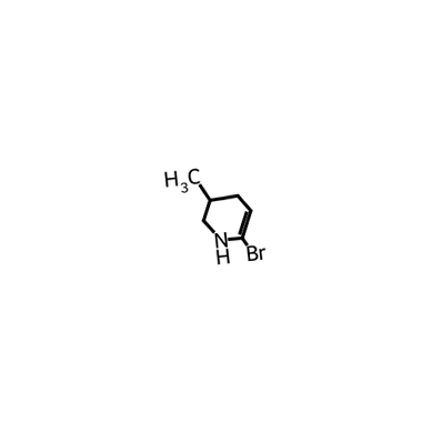 CC1CC=C(Br)NC1